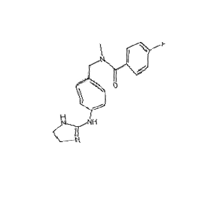 CN(Cc1ccc(NC2=NCCN2)cc1)C(=O)c1ccc(F)cc1